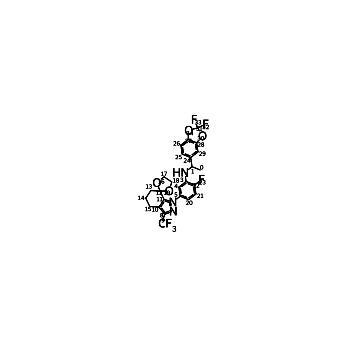 CC(Nc1cc(-n2nc(C(F)(F)F)c3c2C2(CCC3)OCCO2)ccc1F)c1ccc2c(c1)OC(F)(F)O2